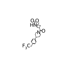 O=C1NC2(CO1)CC(C(=O)N1CCC(c3ccc(CC(F)(F)F)cc3)CC1)C2